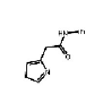 CC(C)NC(=O)CC1=CCC=N1